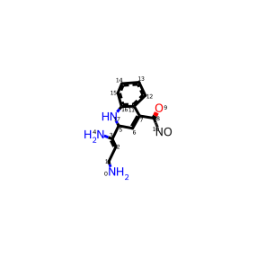 NC/C=C(\N)C1C=C(C(=O)N=O)c2ccccc2N1